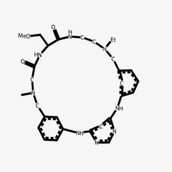 CCN1CCNC(=O)C(COC)NC(=O)CN(C)Cc2cccc(c2)Nc2cc(ncn2)Nc2cccc(c2)C1